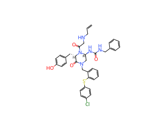 C=CCNCC(=O)N1[C@@H](NC(=O)NCc2ccccc2)CN(Cc2ccccc2Sc2ccc(Cl)cc2)C(=O)[C@@H]1Cc1ccc(O)cc1